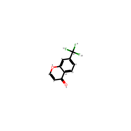 O=c1ccoc2cc(C(F)(F)F)ccc12